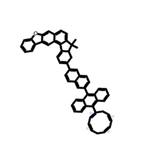 CC1(C)c2ccc3cc4oc5ccccc5c4cc3c2C2=CC=C(c3ccc4cc(-c5c6ccccc6c(/C6=C/C=C\C/C=C\C=C/C6)c6ccccc56)ccc4c3)CC21